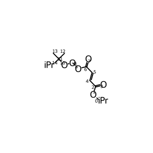 CC(C)OC(=O)C=CC(=O)OOOC(C)(C)C(C)C